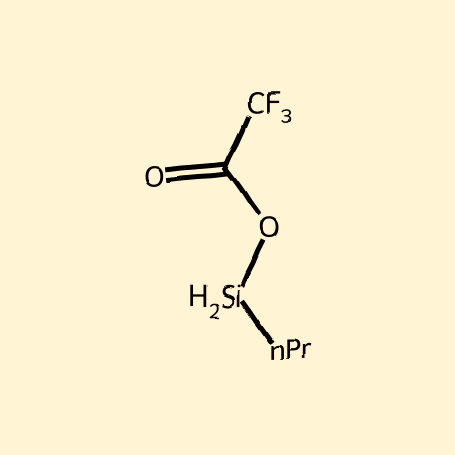 CCC[SiH2]OC(=O)C(F)(F)F